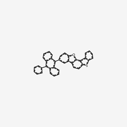 c1ccc(-c2c3ccccc3c(-c3ccc4oc5c(ccc6sc7ccccc7c65)c4c3)c3ccccc23)cc1